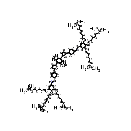 CN(C)CCCCCCOc1cc(/C=C/c2ccc(-c3ccc(-c4c5c(c(-c6ccc(-c7ccc(/C=C/c8cc(OCCCCCCN(C)C)c(OCCCCCCN(C)C)c(OCCCCCCN(C)C)c8)cc7)s6)c6nsnc46)N=S=N5)s3)cc2)cc(OCCCCCCN(C)C)c1OCCCCCCN(C)C